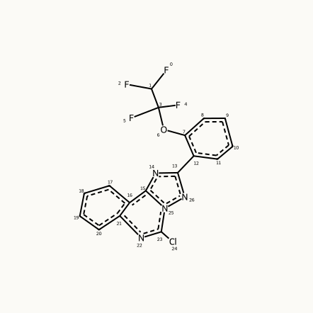 FC(F)C(F)(F)Oc1ccccc1-c1nc2c3ccccc3nc(Cl)n2n1